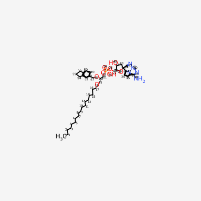 CCCCCCCCCCCCCCCCCCOC[C@H](COP(=O)(O)OC[C@H]1OC(C#N)(c2ccc3c(N)ncnn23)C[C@@H]1O)OCc1ccc2c(c1)CCC2